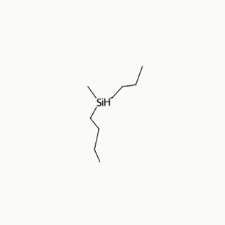 CCCC[SiH](C)CCCC